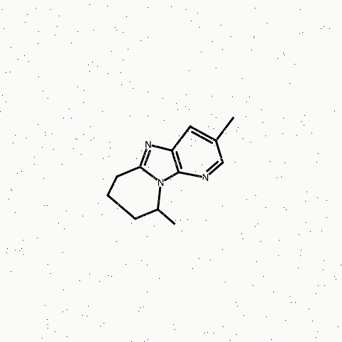 Cc1cnc2c(c1)nc1n2C(C)CCC1